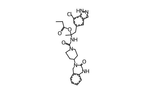 CCC(=O)OC(C)(Cc1cc(Cl)c2[nH]ncc2c1)NC(=O)N1CCC(N2Cc3ccccc3NC2=O)CC1